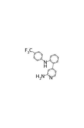 Nc1cc(-c2ccccc2Nc2ccc(C(F)(F)F)cc2)ccn1